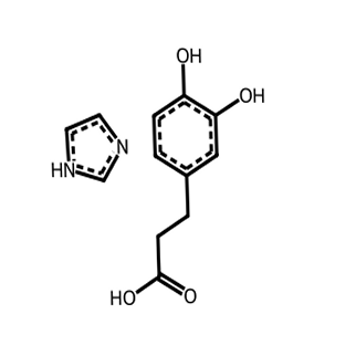 O=C(O)CCc1ccc(O)c(O)c1.c1c[nH]cn1